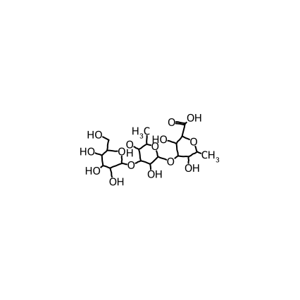 CC1OC(OC2C(O)C(C)OC(C(=O)O)C2O)C(O)C(OC2OC(CO)C(O)C(O)C2O)C1O